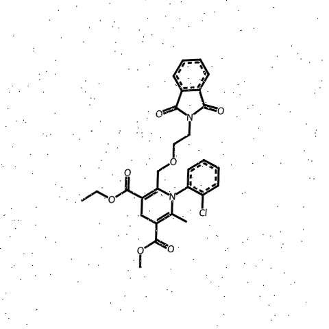 CCOC(=O)C1=C(COCCN2C(=O)c3ccccc3C2=O)N(c2ccccc2Cl)C(C)=C(C(=O)OC)C1